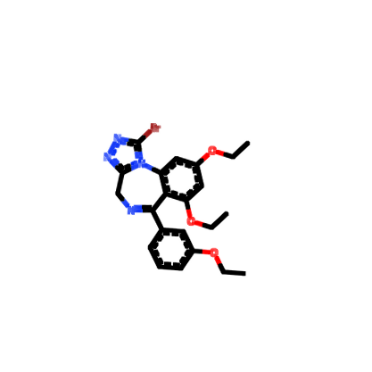 CCOc1cccc(C2=NCc3nnc(Br)n3-c3cc(OCC)cc(OCC)c32)c1